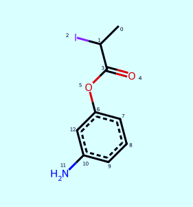 CC(I)C(=O)Oc1cccc(N)c1